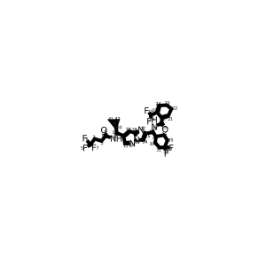 O=C(CCC(F)(F)F)NC(c1cnn2cc([C@@H](NC(=O)C3=CCCC=C3C(F)F)C3CCC(F)(F)CC3)nc2c1)C1CC1